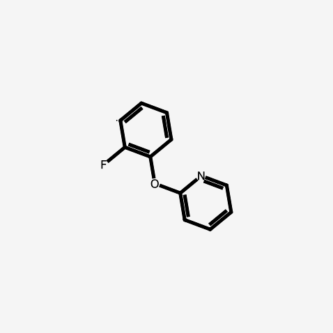 Fc1[c]cccc1Oc1ccccn1